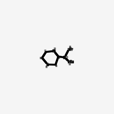 CCCCN(CCC)C1CSCC[N]1